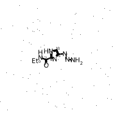 CCNC(=O)c1nc(N=NN)c[nH]1